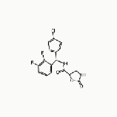 O=C1NCC(C(=O)N[C@H](c2ccc(Cl)cc2)c2cccc(F)c2F)O1